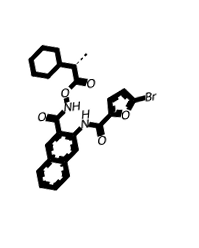 C[C@H](C(=O)ONC(=O)c1cc2ccccc2cc1NC(=O)c1ccc(Br)o1)C1CCCCC1